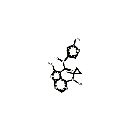 Cc1oc2ncnc(N(C)C3(C)CC3)c2c1C(=O)N(C)c1cnn(C)c1